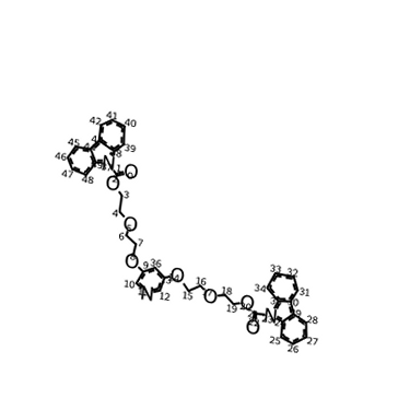 O=C(OCCOCCOc1cncc(OCCOCCOC(=O)n2c3ccccc3c3ccccc32)c1)n1c2ccccc2c2ccccc21